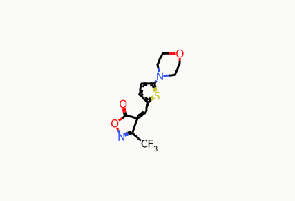 O=C1ON=C(C(F)(F)F)/C1=C/c1ccc(N2CCOCC2)s1